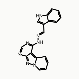 C(=N\Nc1ncnc2nn3ccccc3c12)/c1c[nH]c2ccccc12